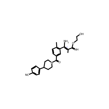 C/C(C(=N)OCCO)=C(/N)c1cc(C(=O)N2CCC(c3ccc(C#N)cc3)CC2)ccc1C